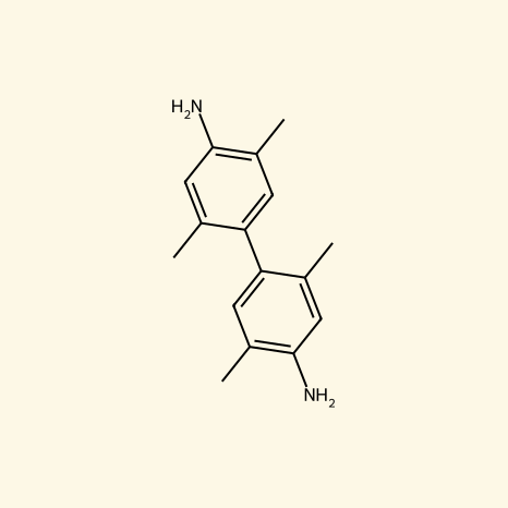 Cc1cc(-c2cc(C)c(N)cc2C)c(C)cc1N